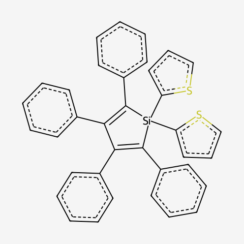 c1ccc(C2=C(c3ccccc3)[Si](c3cccs3)(c3cccs3)C(c3ccccc3)=C2c2ccccc2)cc1